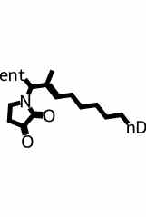 CCCCCCCCCCCCCCCC=C(C)C(CCCCC)N1CCC(=O)C1=O